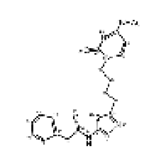 CC(=O)Nc1ccn(CCCCc2nnc(NC(=O)Cc3ccccc3)s2)c(=O)n1